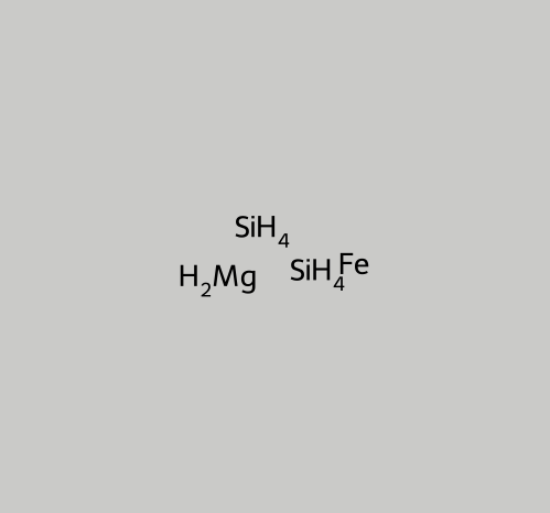 [Fe].[MgH2].[SiH4].[SiH4]